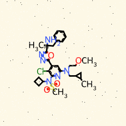 COCCN(CC1CC1C)c1cc(-c2nnc([C@](C)(N)Cc3ccccc3)o2)c(Cl)c(N(C2CCC2)S(C)(=O)=O)n1